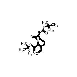 CC(C)(C)OC(=O)NC1C(=O)N2C(C(=O)OC(C)(C)C)=C(C=O)CCC12